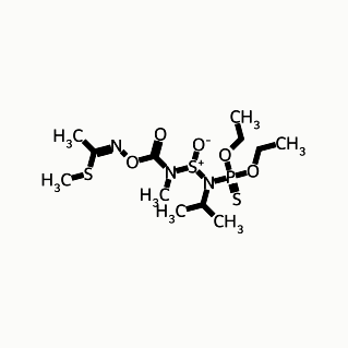 CCOP(=S)(OCC)N(C(C)C)[S+]([O-])N(C)C(=O)ON=C(C)SC